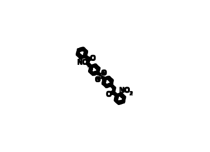 O=C(Cc1ccc(S(=O)(=O)c2ccc(CC(=O)c3ccccc3[N+](=O)[O-])cc2)cc1)c1ccccc1[N+](=O)[O-]